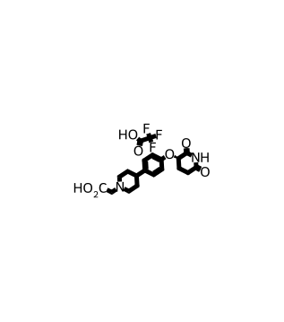 O=C(O)C(F)(F)F.O=C(O)CN1CCC(c2ccc(O[C@@H]3CCC(=O)NC3=O)cc2)CC1